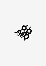 Cc1cccc([Si]2(c3cccc(C)c3)c3cc(C)ccc3-c3cc(C)oc3S2(=O)=O)c1